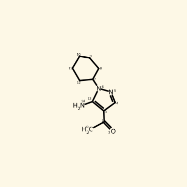 CC(=O)c1cnn(C2CCCCC2)c1N